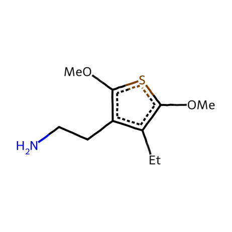 CCc1c(OC)sc(OC)c1CCN